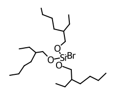 CCCCC(CC)CO[Si](Br)(OCC(CC)CCCC)OCC(CC)CCCC